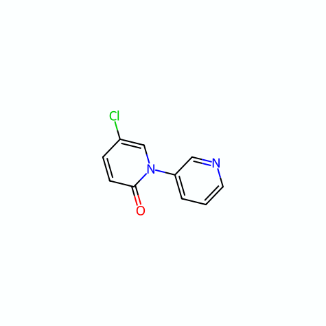 O=c1ccc(Cl)cn1-c1cccnc1